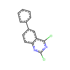 Clc1nc(Cl)c2cc(-c3ccccc3)ccc2n1